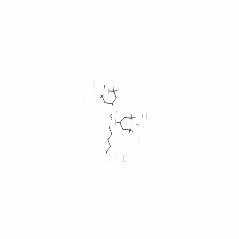 CCOC(=O)CCCCCN(CNC1CC(C)(C)N(O)C(C)(C)C1)C1CC(C)(C)N(O)C(C)(C)C1